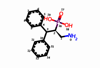 NC[C@@H](C(c1ccccc1)c1ccccc1)P(=O)(O)O